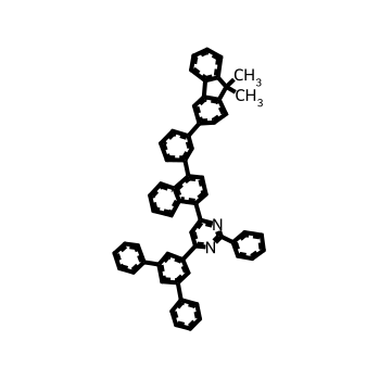 CC1(C)c2ccccc2-c2cc(-c3cccc(-c4ccc(-c5cc(-c6cc(-c7ccccc7)cc(-c7ccccc7)c6)nc(-c6ccccc6)n5)c5ccccc45)c3)ccc21